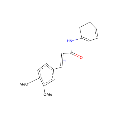 COc1ccc(/C=C/C(=O)NC2=CC=CCC2)cc1OC